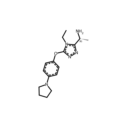 CCn1c(Oc2ccc(N3CCCC3)cc2)nnc1[C@@H](C)N